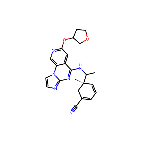 CC(Nc1nc2nccn2c2cnc(OC3CCOC3)cc12)[C@@]1(C)C=CC=C(C#N)C1